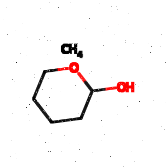 C.OC1CCCCO1